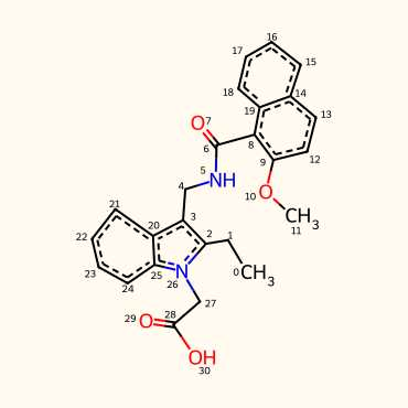 CCc1c(CNC(=O)c2c(OC)ccc3ccccc23)c2ccccc2n1CC(=O)O